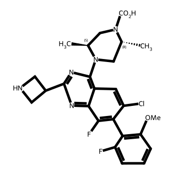 COc1cccc(F)c1-c1c(Cl)cc2c(N3C[C@@H](C)N(C(=O)O)C[C@@H]3C)nc(C3CNC3)nc2c1F